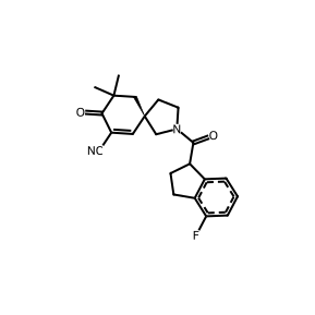 CC1(C)C[C@@]2(C=C(C#N)C1=O)CCN(C(=O)C1CCc3c(F)cccc31)C2